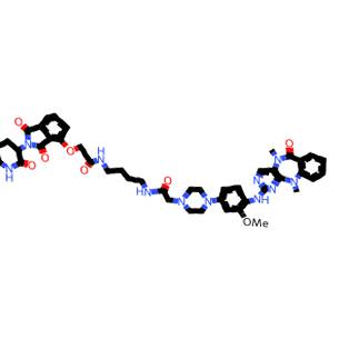 COc1cc(N2CCN(CC(=O)NCCCCNC(=O)COc3cccc4c3C(=O)N(C3CCC(=O)NC3=O)C4=O)CC2)ccc1Nc1ncc2c(n1)N(C)c1ccccc1C(=O)N2C